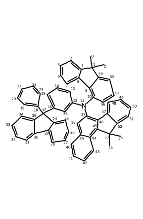 CC1(C)c2ccccc2-c2c(N(c3cccc(C4(c5ccccc5)c5ccccc5-c5ccccc54)c3)c3cc4ccccc4c4c3-c3ccccc3C4(C)C)cccc21